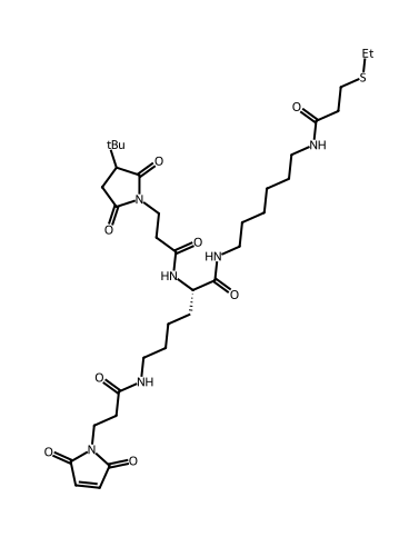 CCSCCC(=O)NCCCCCCNC(=O)[C@H](CCCCNC(=O)CCN1C(=O)C=CC1=O)NC(=O)CCN1C(=O)CC(C(C)(C)C)C1=O